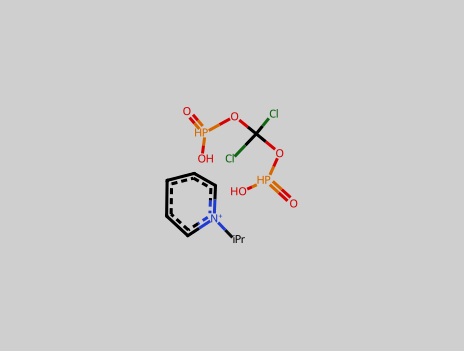 CC(C)[n+]1ccccc1.O=[PH](O)OC(Cl)(Cl)O[PH](=O)O